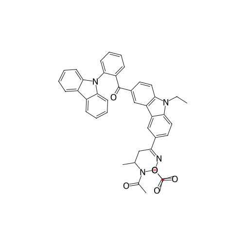 CCn1c2ccc(C(=O)c3ccccc3-n3c4ccccc4c4ccccc43)cc2c2cc(C(CC(C)N(OC(C)=O)C(C)=O)=NOC(C)=O)ccc21